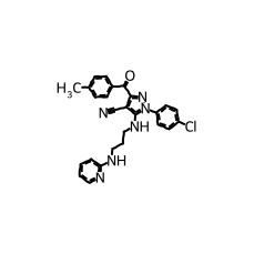 Cc1ccc(C(=O)c2nn(-c3ccc(Cl)cc3)c(NCCCNc3ccccn3)c2C#N)cc1